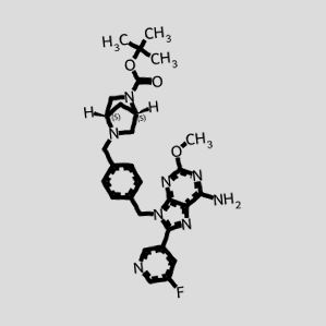 COc1nc(N)c2nc(-c3cncc(F)c3)n(Cc3ccc(CN4C[C@@H]5C[C@H]4CN5C(=O)OC(C)(C)C)cc3)c2n1